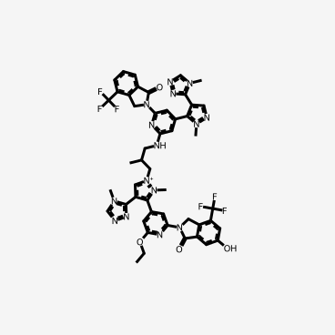 CCOc1cc(-c2c(-c3nncn3C)c[n+](CC(C)CNc3cc(-c4c(-c5nncn5C)cnn4C)cc(N4Cc5c(cccc5C(F)(F)F)C4=O)n3)n2C)cc(N2Cc3c(cc(O)cc3C(F)(F)F)C2=O)n1